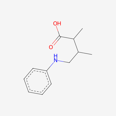 CC(CNc1ccccc1)C(C)C(=O)O